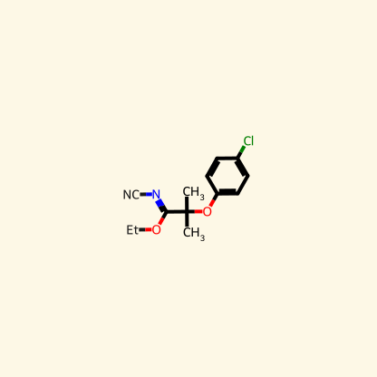 CCOC(=NC#N)C(C)(C)Oc1ccc(Cl)cc1